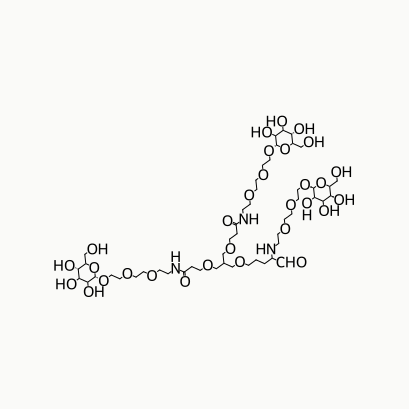 O=CC(CCCOCC(COCCC(=O)NCCOCCOCCO[C@H]1OC(CO)[C@@H](O)C(O)C1O)COCCC(=O)NCCOCCOCCO[C@H]1OC(CO)[C@@H](O)C(O)C1O)NCCOCCOCCO[C@H]1OC(CO)[C@@H](O)C(O)C1O